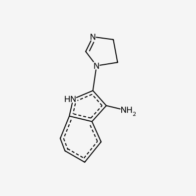 Nc1c(N2C=NCC2)[nH]c2ccccc12